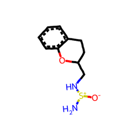 N[S+]([O-])NCC1CCc2ccccc2O1